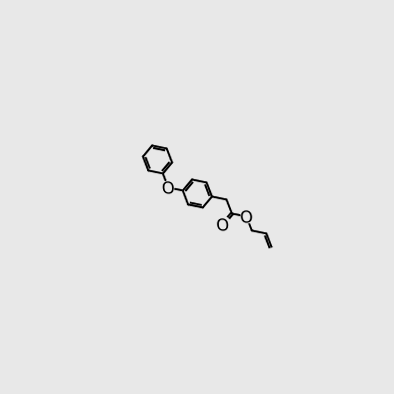 C=CCOC(=O)Cc1ccc(Oc2ccccc2)cc1